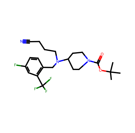 CC(C)(C)OC(=O)N1CCC(N(CCCC#N)Cc2ccc(F)cc2C(F)(F)F)CC1